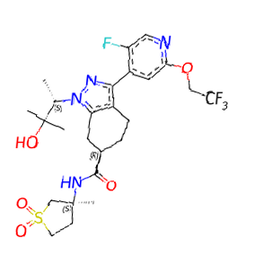 C[C@H](n1nc(-c2cc(OCC(F)(F)F)ncc2F)c2c1C[C@H](C(=O)N[C@@]1(C)CCS(=O)(=O)C1)CC2)C(C)(C)O